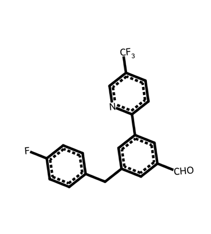 O=Cc1cc(Cc2ccc(F)cc2)cc(-c2ccc(C(F)(F)F)cn2)c1